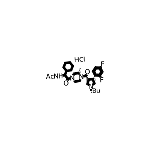 CC(=O)NC(C(=O)N1CCN(C(=O)[C@@H]2CN(C(C)(C)C)C[C@H]2c2ccc(F)cc2F)[C@@H](C)C1)C1CCCCC1.Cl